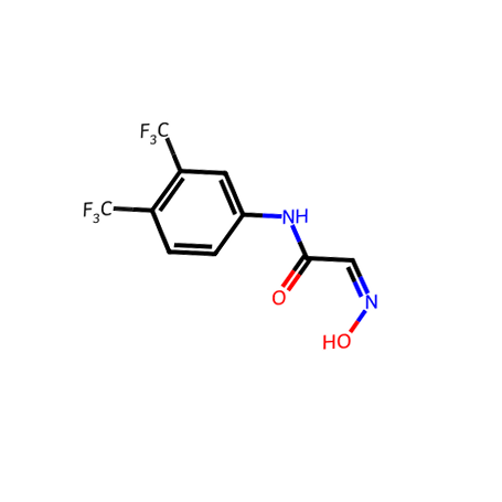 O=C(/C=N\O)Nc1ccc(C(F)(F)F)c(C(F)(F)F)c1